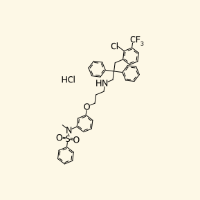 CN(c1cccc(OCCCNCC(Cc2cccc(C(F)(F)F)c2Cl)(c2ccccc2)c2ccccc2)c1)S(=O)(=O)c1ccccc1.Cl